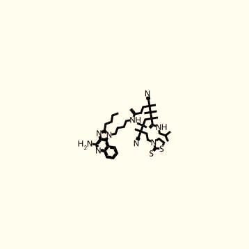 C=C(CCC(C)(C#N)C(C)(C)C(C)(CC(C)(C)C(C)(C#N)CCN1CCSC1=S)C(=C)NCC(C)C)NCCCCn1c(CCCC)nc2c(N)nc3ccccc3c21